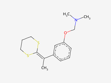 CC(=C1SCCCS1)c1cccc(OCN(C)C)c1